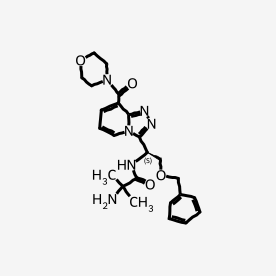 CC(C)(N)C(=O)N[C@H](COCc1ccccc1)c1nnc2c(C(=O)N3CCOCC3)cccn12